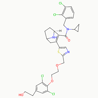 O=C(C1=C(c2cnc(COCCOc3c(Cl)cc(CCO)cc3Cl)s2)CC2CC[C@@H]1N2)N(Cc1cccc(Cl)c1Cl)C1CC1